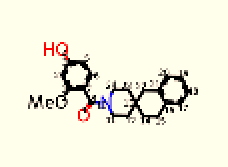 COc1cc(O)ccc1C(=O)N1CCC2(CCc3ccccc3C2)CC1